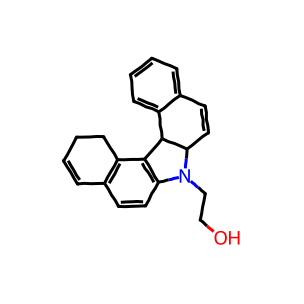 OCCN1c2ccc3c(c2C2c4ccccc4C=CC21)CCC=C3